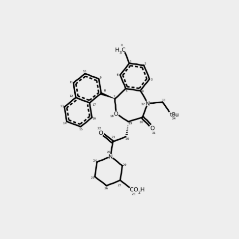 Cc1ccc2c(c1)[C@H](c1cccc3ccccc13)O[C@@H](CC(=O)N1CCCC(C(=O)O)C1)C(=O)N2CC(C)(C)C